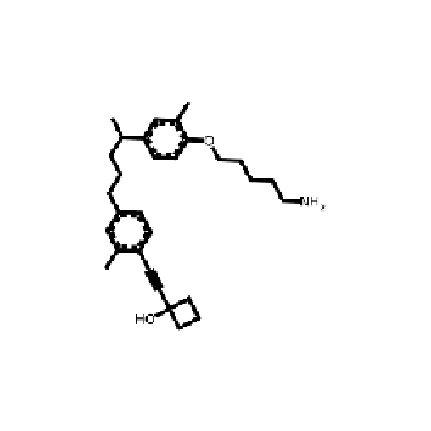 Cc1cc(CCCC(C)c2ccc(OCCCCCN)c(C)c2)ccc1C#CC1(O)CCC1